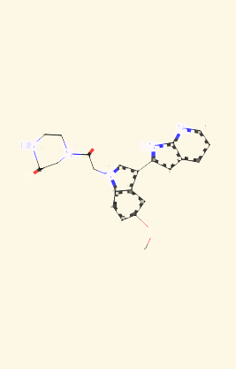 COc1ccc2c(c1)c(-c1cc3cccnc3[nH]1)cn2CC(=O)N1CCNC(=O)C1